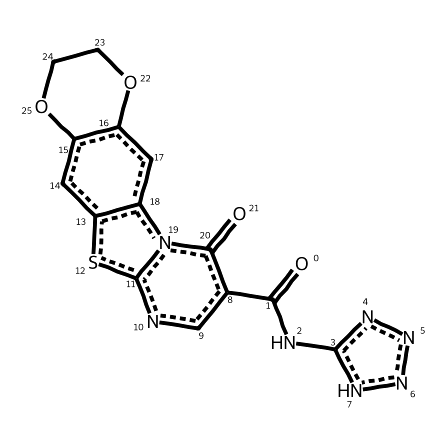 O=C(Nc1nnn[nH]1)c1cnc2sc3cc4c(cc3n2c1=O)OCCO4